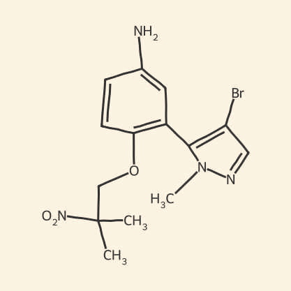 Cn1ncc(Br)c1-c1cc(N)ccc1OCC(C)(C)[N+](=O)[O-]